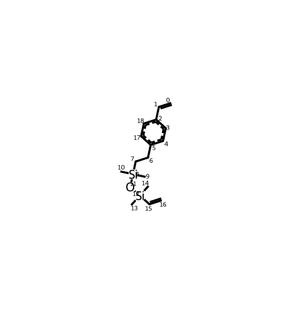 C=Cc1ccc(CC[Si](C)(C)O[Si](C)(C)C=C)cc1